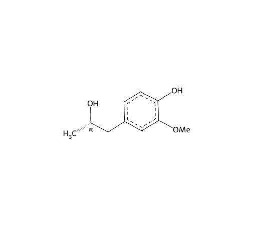 COc1cc(C[C@H](C)O)ccc1O